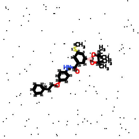 CSc1cc(B2OC(C)(C)C(C)(C)O2)cc(C(=O)Nc2ccc(OCCc3ccccc3)cc2)c1